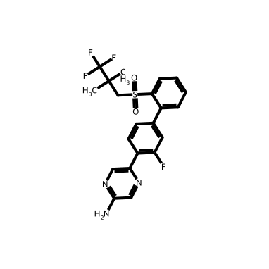 CC(C)(CS(=O)(=O)c1ccccc1-c1ccc(-c2cnc(N)cn2)c(F)c1)C(F)(F)F